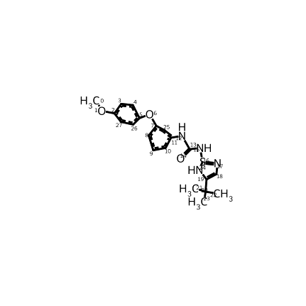 COc1ccc(Oc2cccc(NC(=O)NS3=NC=C(C(C)(C)C)N3)c2)cc1